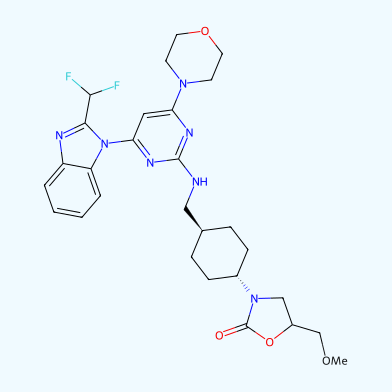 COCC1CN([C@H]2CC[C@H](CNc3nc(N4CCOCC4)cc(-n4c(C(F)F)nc5ccccc54)n3)CC2)C(=O)O1